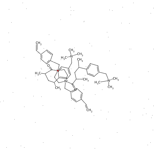 C=Cc1ccc(C[N+]2(C(=O)C(C)CC(C)c3ccc(C[N+](C)(C)C)cc3)CC[N+](Cc3ccc(C=C)cc3)(C(=O)C(C)CC(C)c3ccc(C[N+](C)(C)C)cc3)CC2)cc1